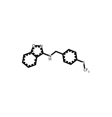 FC(F)(F)Sc1ccc(CNc2noc3ccccc23)cc1